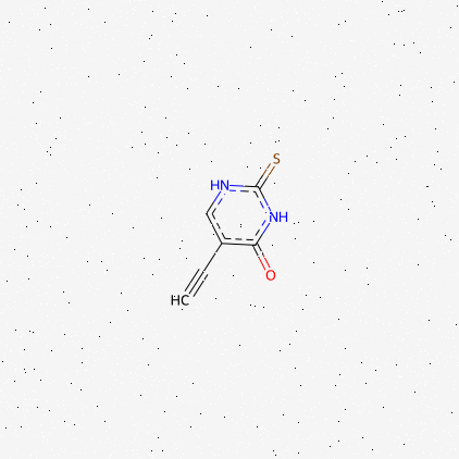 C#Cc1c[nH]c(=S)[nH]c1=O